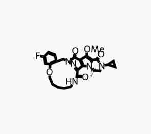 COc1c2n(c3c4nn(c(=O)c13)Cc1ccc(F)cc1OCCCCCNC4=O)[C@@H](C)CN(C1CC1)C2=O